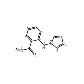 COC(=O)c1ccccc1Nn1ccnn1